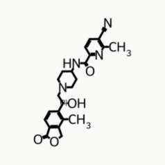 Cc1nc(C(=O)NC2CCN(C[C@H](O)c3ccc4c(c3C)COC4=O)CC2)ccc1C#N